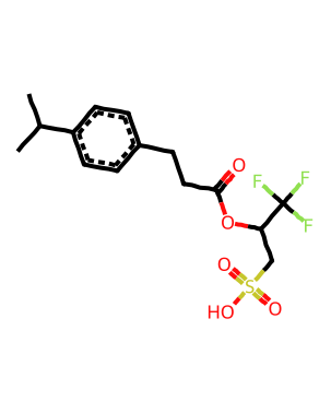 CC(C)c1ccc(CCC(=O)OC(CS(=O)(=O)O)C(F)(F)F)cc1